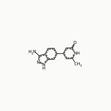 Cc1cc(-c2ccc3c(N)n[nH]c3c2)cc(=O)[nH]1